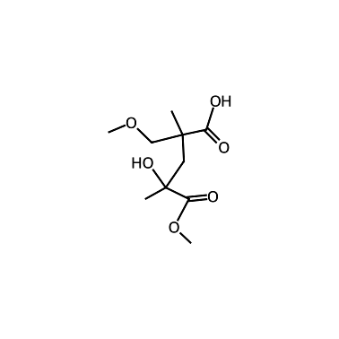 COCC(C)(CC(C)(O)C(=O)OC)C(=O)O